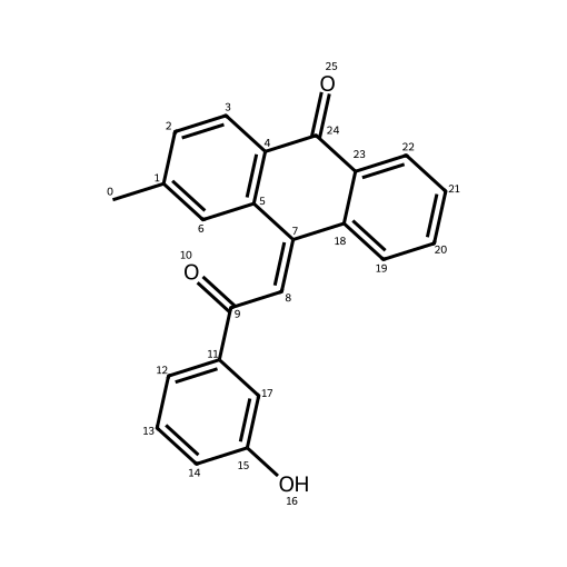 Cc1ccc2c(c1)C(=CC(=O)c1cccc(O)c1)c1ccccc1C2=O